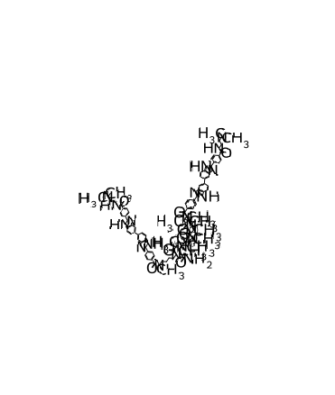 C[C@@H](C(=O)N(C)[C@@H](C)C(=O)N(C)[C@@H](C)C(=O)N(C)[C@@H](C)C(=O)N(CCCCN(C)C(=O)c1ccc(-c2nc3cc(-c4ccc5[nH]c(-c6ccc(C(=O)NCCN(C)C)cc6)nc5c4)ccc3[nH]2)cc1)CC(N)=O)N(C)C(=O)c1ccc(-c2nc3cc(-c4ccc5[nH]c(-c6ccc(C(=O)NCCN(C)C)cc6)nc5c4)ccc3[nH]2)cc1